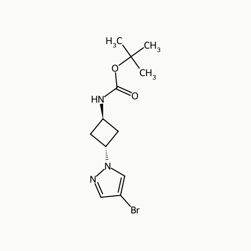 CC(C)(C)OC(=O)N[C@H]1C[C@H](n2cc(Br)cn2)C1